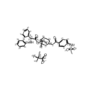 CS(=O)(=O)Nc1ccc(C(=O)C[N+]23CCC(CC2)[C@@H](OC(=O)[C@H](Nc2ccccc2)c2ccccc2)C3)cc1.O=C([O-])C(F)(F)F